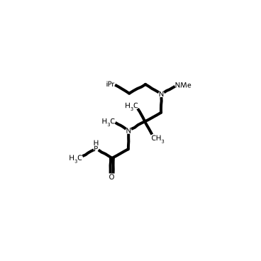 CNN(CCC(C)C)CC(C)(C)N(C)CC(=O)PC